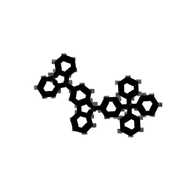 C1=CC2c3cc(N4c5ccccc5N5C=CC=CN54)ccc3N(c3ccc([Si](c4ccccc4)(c4ccccc4)c4ccccc4)cc3)C2C=C1